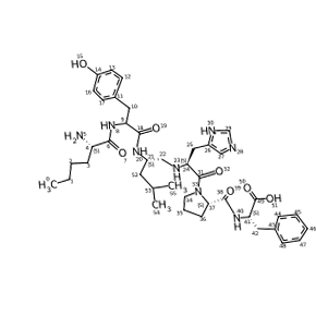 CCCC[C@H](N)C(=O)NC(Cc1ccc(O)cc1)C(=O)N[C@H](CN[C@@H](Cc1cnc[nH]1)C(=O)N1CCC[C@H]1C(=O)N[C@@H](Cc1ccccc1)C(=O)O)CC(C)C